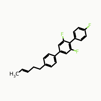 C/C=C/CCc1ccc(-c2cc(F)c(-c3ccc(F)cc3)c(F)c2)cc1